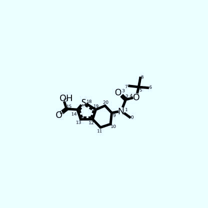 CN(C(=O)OC(C)(C)C)C1CCc2cc(C(=O)O)sc2C1